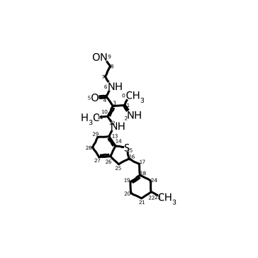 CC(=N)/C(C(=O)NCCN=O)=C(/C)NC1=C2SC(CC3=CCCC(C)C3)CC2=CCC1